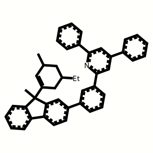 CCC1CC(C2(C)c3ccccc3-c3ccc(-c4cccc(-c5cc(-c6ccccc6)cc(-c6ccccc6)n5)c4)cc32)=CC(C)C1